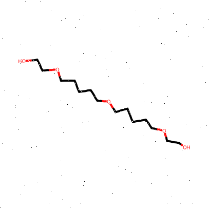 OCCOCCCCCOCCCCCOCCO